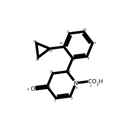 O=C1C=CN(C(=O)O)C(c2ccccc2C2CC2)C1